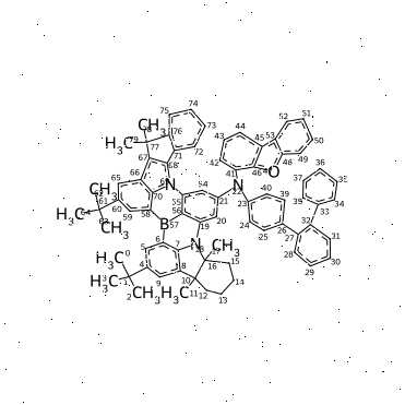 CC(C)(C)c1cc2c3c(c1)C1(C)CCCCC1(C)N3c1cc(N(c3ccc(-c4ccccc4-c4ccccc4)cc3)c3cccc4c3oc3ccccc34)cc3c1B2c1cc(C(C)(C)C)cc2c4c(n-3c12)-c1ccccc1C4(C)C